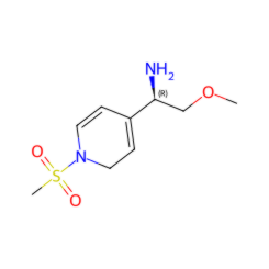 COC[C@H](N)C1=CCN(S(C)(=O)=O)C=C1